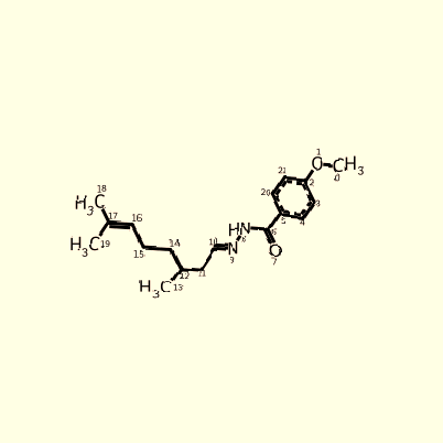 COc1ccc(C(=O)NN=CCC(C)CCC=C(C)C)cc1